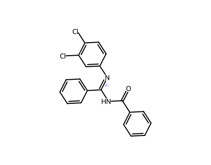 O=C(N/C(=N/c1ccc(Cl)c(Cl)c1)c1ccccc1)c1ccccc1